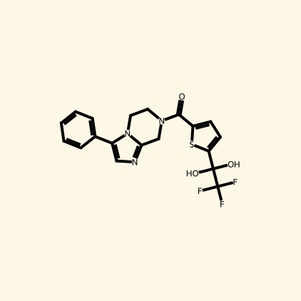 O=C(c1ccc(C(O)(O)C(F)(F)F)s1)N1CCn2c(-c3ccccc3)cnc2C1